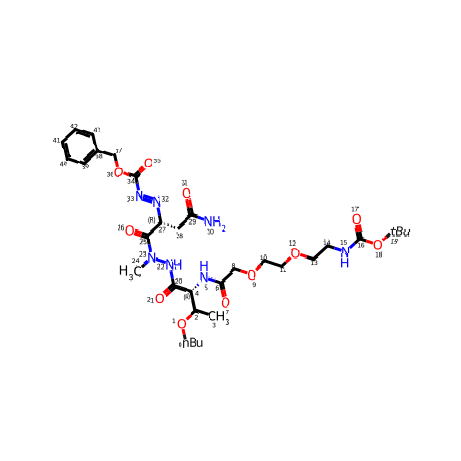 CCCCOC(C)[C@@H](NC(=O)COCCOCCNC(=O)OC(C)(C)C)C(=O)NN(C)C(=O)[C@@H](CC(N)=O)N=NC(=O)OCc1ccccc1